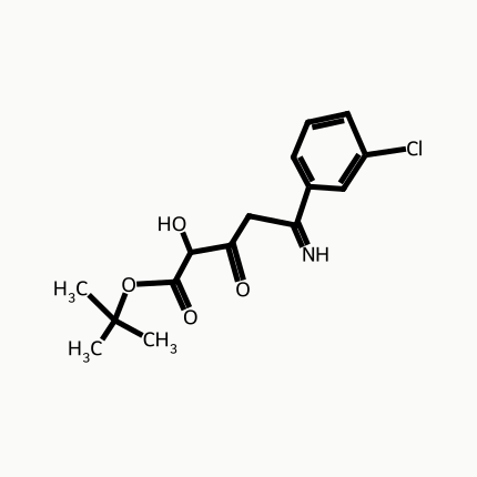 CC(C)(C)OC(=O)C(O)C(=O)CC(=N)c1cccc(Cl)c1